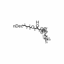 CCCCCCCCCCCCCCOCC(O)COP(=O)([O-])OCC[N+](C)(C)C